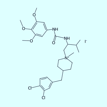 COc1cc(NC(=O)NC(C[N+]2(C)CCC(Cc3ccc(Cl)c(Cl)c3)CC2)C(C)C)cc(OC)c1OC.[I-]